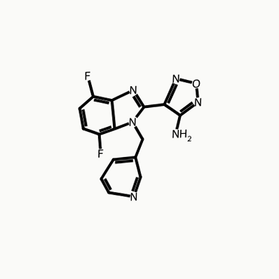 Nc1nonc1-c1nc2c(F)ccc(F)c2n1Cc1cccnc1